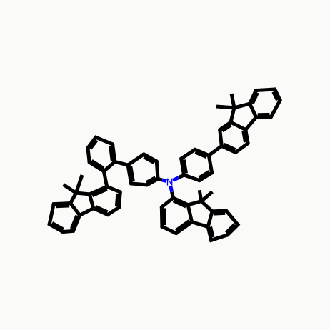 CC1(C)c2ccccc2-c2ccc(-c3ccc(N(c4ccc(-c5ccccc5-c5cccc6c5C(C)(C)c5ccccc5-6)cc4)c4cccc5c4C(C)(C)c4ccccc4-5)cc3)cc21